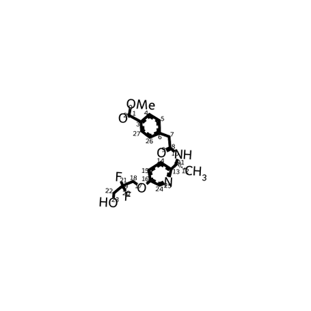 COC(=O)c1ccc(CC(=O)N[C@H](C)c2ccc(OCC(F)(F)CO)cn2)cc1